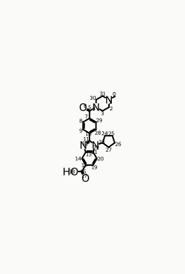 CN1CCN(C(=O)c2ccc(-c3nc4cc(C(=O)O)ccc4n3C3CCCC3)cc2)CC1